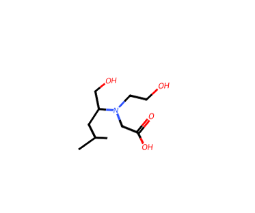 CC(C)CC(CO)N(CCO)CC(=O)O